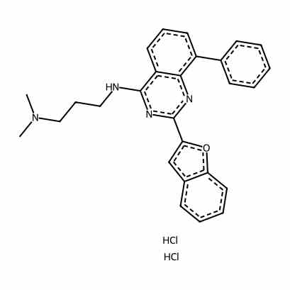 CN(C)CCCNc1nc(-c2cc3ccccc3o2)nc2c(-c3ccccc3)cccc12.Cl.Cl